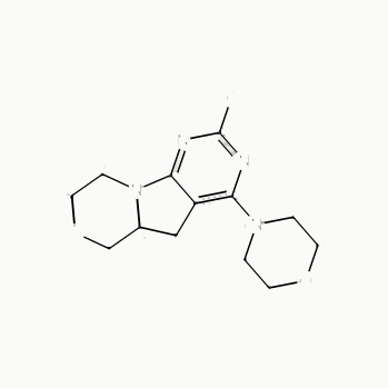 Clc1nc(N2CCOCC2)c2c(n1)N1CCOCC1C2